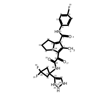 Cc1c(C(=O)Nc2ccc(F)cc2)c2n(c1C(=O)C(=O)NC1(C3=CNNN3)CC(F)(F)C1)CCC2